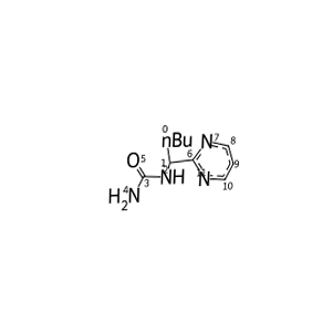 CCCCC(NC(N)=O)c1ncccn1